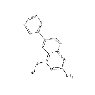 CC(C)Oc1nc(N)nc2ccc(-c3cccnc3)cc12